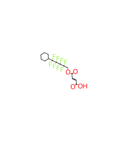 O=C(O)C=CC(=O)OCC(F)(F)C(F)(F)C(F)(F)C(F)(F)C1CCCCC1